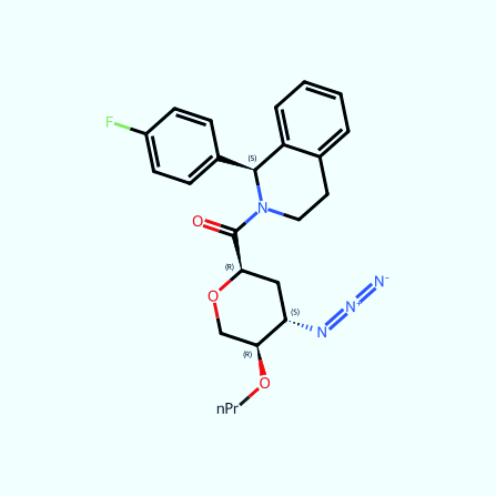 CCCO[C@H]1CO[C@@H](C(=O)N2CCc3ccccc3[C@@H]2c2ccc(F)cc2)C[C@@H]1N=[N+]=[N-]